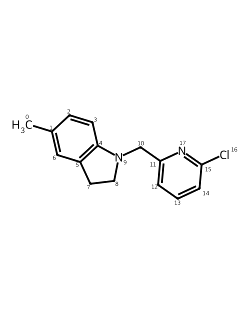 Cc1ccc2c(c1)CCN2Cc1cccc(Cl)n1